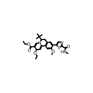 CCOC(=O)C1=CN2C(=CC1OCC)c1cc(OC)c(-c3cnc(C(=O)NC)s3)cc1CC2C(C)(C)C